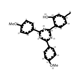 COc1ccc(-c2nc(-c3ccc(OC)cc3)nc(-c3ccc(C)cc3O)n2)cc1